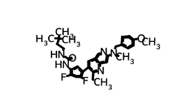 CCc1nc2cc(N(C)Cc3ccc(OC)cc3)ncc2cc1-c1cc(NC(=O)NCCC(C)(C)C)c(F)cc1F